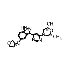 C[C@@H]1CN(c2cc(-c3n[nH]c4ccc(O[C@H]5CCOC5)cc34)ncn2)C[C@H](C)O1